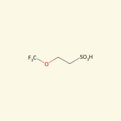 O=S(=O)(O)CCOC(F)(F)F